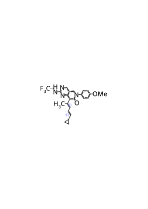 COc1ccc(-n2cc3cnc(NCC(F)(F)F)nc3c(/C(C)=C/C=C/C3CC3)c2=O)cc1